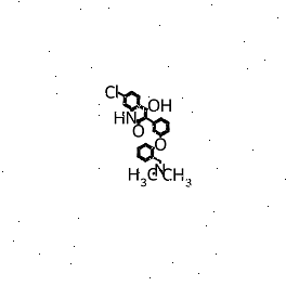 CN(C)Cc1ccccc1Oc1cccc(-c2c(O)c3ccc(Cl)cc3[nH]c2=O)c1